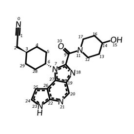 N#CC[C@H]1CC[C@H](n2c(C(=O)N3CCC(O)CC3)nc3cnc4[nH]ccc4c32)CC1